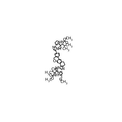 COC[C@@H]1C[C@@H](c2nc3c([nH]2)-c2cc4c(cc2CC3)-c2ccc(-c3cnc([C@@H]5CCCN5C(=O)C(NC(=O)OC)C(C)C)[nH]3)cc2CO4)N(C(=O)[C@@H](NC(=O)OC)C(C)C)C1